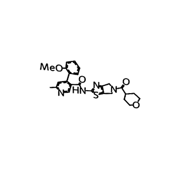 COc1ccccc1-c1cc(C)ncc1C(=O)Nc1nc2c(s1)CN(C(=O)C1CCOCC1)C2